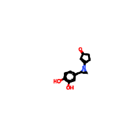 O=C1C=C(N2CC2c2ccc(O)c(O)c2)CC1